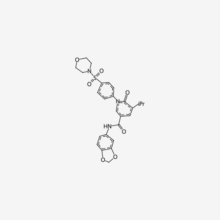 CC(C)c1cc(C(=O)Nc2ccc3c(c2)OCO3)cn(-c2ccc(S(=O)(=O)N3CCOCC3)cc2)c1=O